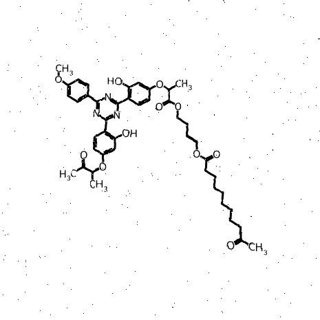 COc1ccc(-c2nc(-c3ccc(OC(C)C(C)=O)cc3O)nc(-c3ccc(OC(C)C(=O)OCCCCOC(=O)CCCCCCCCC(C)=O)cc3O)n2)cc1